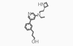 CCN(CC[C@@H]1CCN1)c1cncc(-c2cccc(CCCO)c2)c1